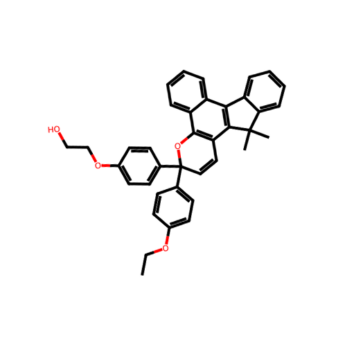 CCOc1ccc(C2(c3ccc(OCCO)cc3)C=Cc3c4c(c5ccccc5c3O2)-c2ccccc2C4(C)C)cc1